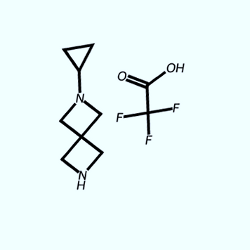 C1CC1N1CC2(CNC2)C1.O=C(O)C(F)(F)F